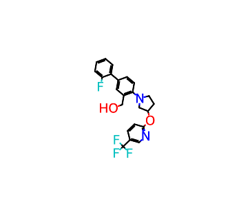 OCc1cc(-c2ccccc2F)ccc1N1CCC(Oc2ccc(C(F)(F)F)cn2)C1